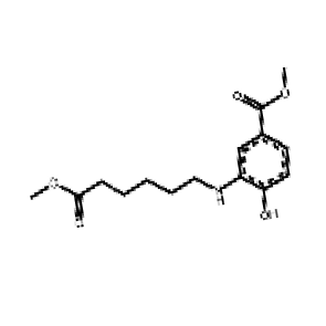 COC(=O)CCCCCNc1cc(C(=O)OC)ccc1O